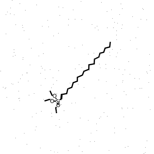 CCCCCCCCCCCCCCCCCCC=C[Si](OCC)(OCC)OCC